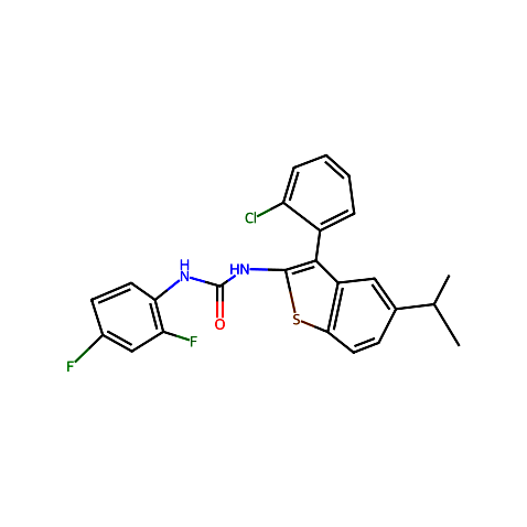 CC(C)c1ccc2sc(NC(=O)Nc3ccc(F)cc3F)c(-c3ccccc3Cl)c2c1